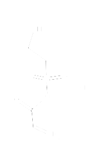 C=CC(=O)OS(=O)(=O)CCC.[KH]